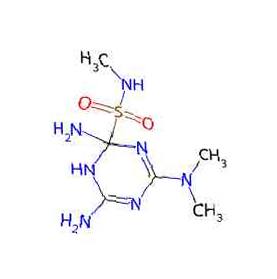 CNS(=O)(=O)C1(N)N=C(N(C)C)N=C(N)N1